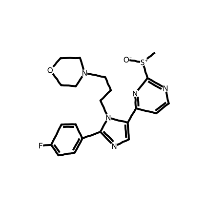 C[S+]([O-])c1nccc(-c2cnc(-c3ccc(F)cc3)n2CCCN2CCOCC2)n1